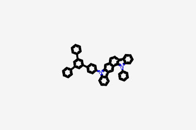 c1ccc(-c2cc(-c3ccccc3)cc(-c3ccc(-n4c5ccccc5c5cc6c(ccc7c8ccccc8n(-c8ccccc8)c67)cc54)cc3)c2)cc1